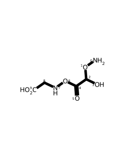 NOC(O)C(=O)ONCC(=O)O